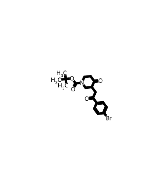 CC(C)(C)OC(=O)N1CCC(=O)C(CC(=O)c2ccc(Br)cc2)C1